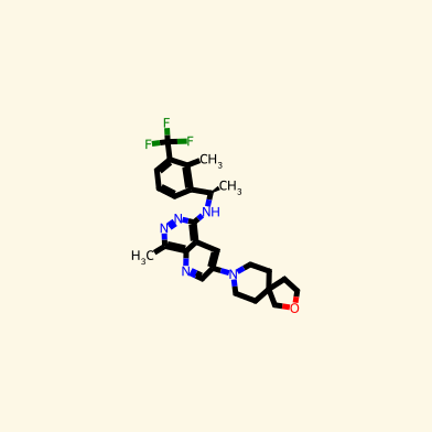 Cc1c([C@@H](C)Nc2nnc(C)c3ncc(N4CCC5(CCOC5)CC4)cc23)cccc1C(F)(F)F